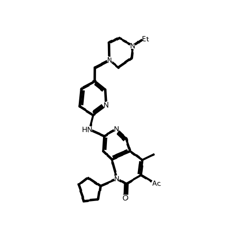 CCN1CCN(Cc2ccc(Nc3cc4c(cn3)c(C)c(C(C)=O)c(=O)n4C3CCCC3)nc2)CC1